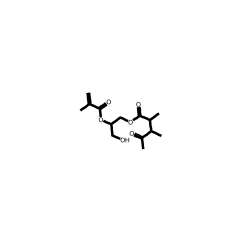 C=C(C)C(=O)OC(CO)COC(=O)C(C)C(C)C(C)=O